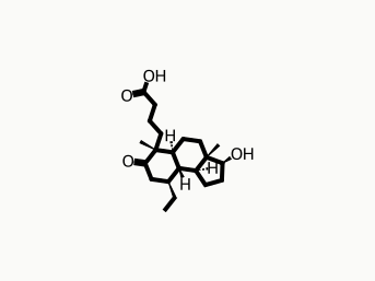 CC[C@H]1CC(=O)[C@](C)(CCCC(=O)O)[C@H]2CC[C@]3(C)[C@@H](O)CC[C@H]3[C@H]12